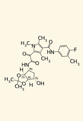 Cc1cc(NC(=O)c2c(C)c(C(=O)C(=O)N[C@@H]3C[C@H](O)[C@H]4OC(C)(C)O[C@H]43)n(C)c2C)ccc1F